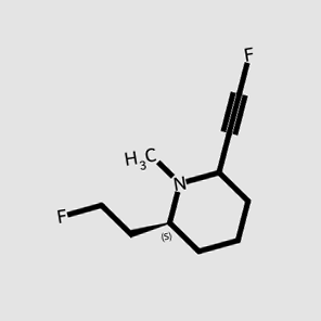 CN1C(C#CF)CCC[C@H]1CCF